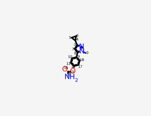 Cn1nc(C2CC2)cc1-c1ccc(OC(N)=O)cc1